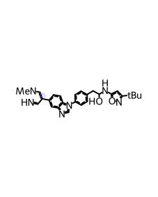 CN/C=C(\C=N)c1ccc2c(c1)ncn2-c1ccc(CC(O)Nc2cc(C(C)(C)C)no2)cc1